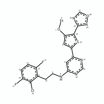 CCOc1cc(-c2cc(NCCc3c(F)ccc(F)c3Cl)ncn2)sc1-c1ncon1